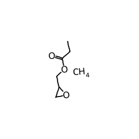 C.CCC(=O)OCC1CO1